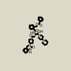 O=C(OCc1ccccc1C(=O)N[C@@H](CC(=O)N1CCC(N2Cc3ccccc3NC2=O)CC1)C(O)N1CCC(N2CCCCC2)CC1)c1ccccc1